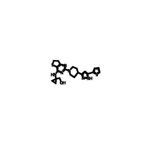 OCC1(Nc2nc(N3CCC(c4cc(-c5cccs5)[nH]n4)CC3)nc3c2SCC3)CC1